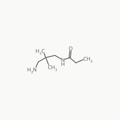 CCC(=O)NCC(C)(C)CN